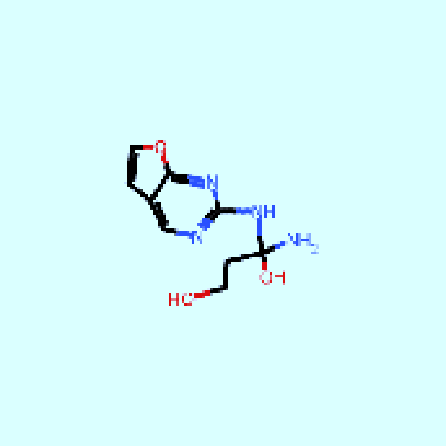 NC(O)(CCO)Nc1ncc2ccoc2n1